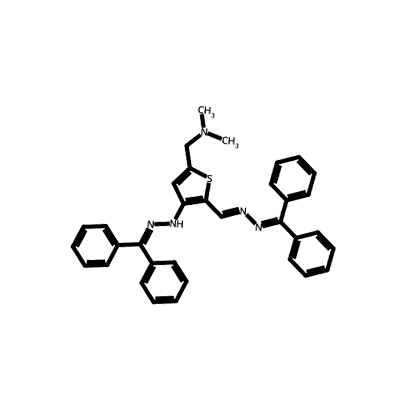 CN(C)Cc1cc(NN=C(c2ccccc2)c2ccccc2)c(C=NN=C(c2ccccc2)c2ccccc2)s1